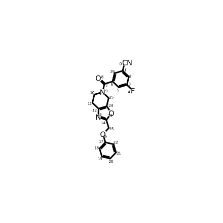 N#Cc1cc(F)cc(C(=O)N2CCc3nc(COc4ccccc4)oc3C2)c1